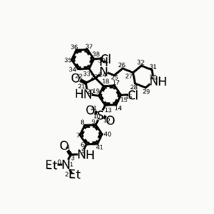 CCN(CC)C(=O)Nc1ccc(S(=O)(=O)c2cc(Cl)cc3c2NC(=O)C3(NCCC2CCNCC2)c2ccccc2Cl)cc1